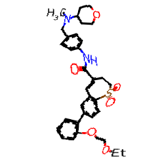 CCOCCOc1ccccc1-c1ccc2c(c1)C=C(C(=O)Nc1ccc(CN(C)C3CCOCC3)cc1)CCS2(=O)=O